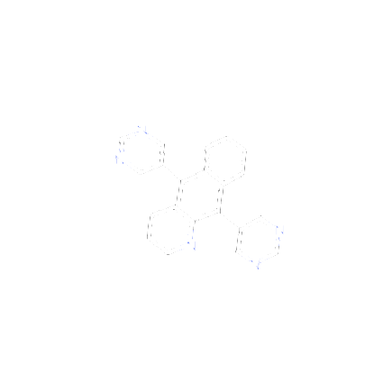 c1ccc2c(-c3cncnc3)c3ncccc3c(-c3cncnc3)c2c1